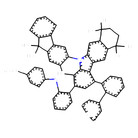 CCCCCc1ccc(Nc2ccccc2-c2cc(-c3ccccc3-c3ccccc3)c3c4cc5c(cc4n4c3c2Bc2cc3c(cc2-4)-c2ccccc2C3(C)C)C(C)(C)CCC5(C)C)cc1